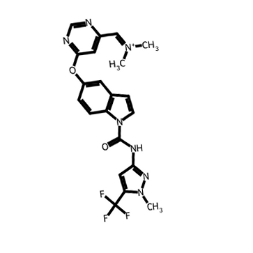 Cn1nc(NC(=O)n2ccc3cc(Oc4cc(C=[N+](C)C)ncn4)ccc32)cc1C(F)(F)F